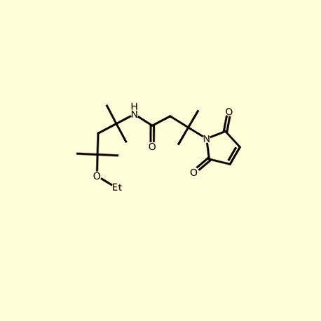 CCOC(C)(C)CC(C)(C)NC(=O)CC(C)(C)N1C(=O)C=CC1=O